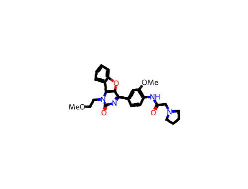 COCCN1C(=O)N=C(c2ccc(NC(=O)CN3CCCC3)c(OC)c2)C2Oc3ccccc3C21